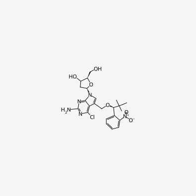 CC(C)(C)[C@H](OCc1cn([C@H]2CC(O)[C@@H](CO)O2)c2nc(N)nc(Cl)c12)c1ccccc1[N+](=O)[O-]